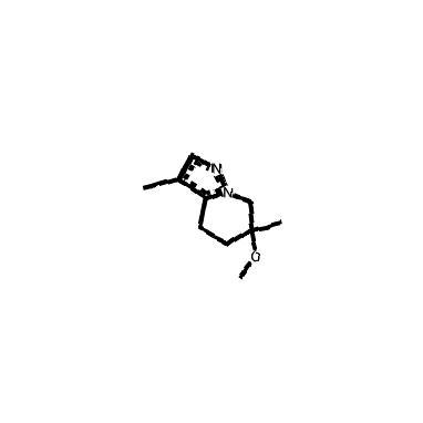 COC1(C)CCc2c(C)cnn2C1